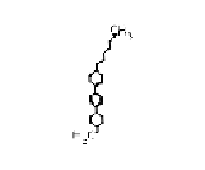 CCCCCCCC1CC=C(c2ccc(C3CCC(CC)CC3)cc2)CC1